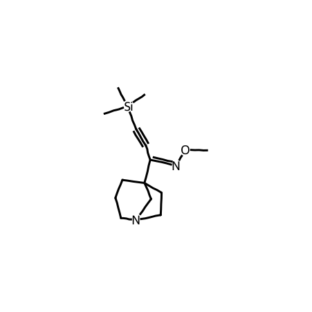 CON=C(C#C[Si](C)(C)C)C12CCCN(CC1)C2